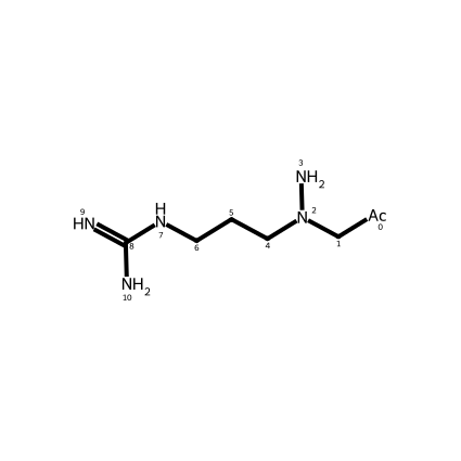 CC(=O)CN(N)CCCNC(=N)N